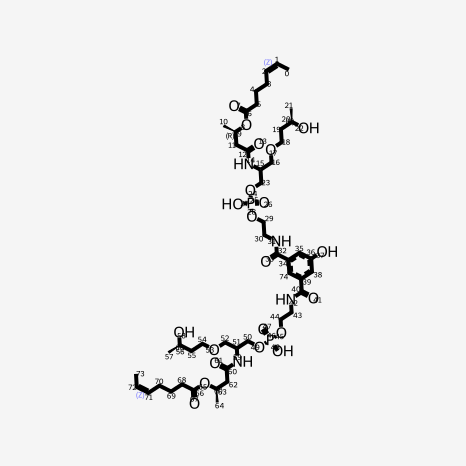 C/C=C\CCCC(=O)O[C@H](C)CC(=O)NC(COCC[C@@H](C)O)COP(=O)(O)OCCNC(=O)c1cc(O)cc(C(=O)NCCOP(=O)(O)OCC(COCC[C@@H](C)O)NC(=O)C[C@@H](C)OC(=O)CCC/C=C\C)c1